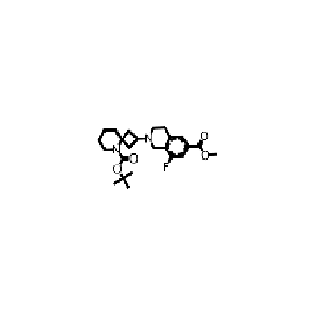 COC(=O)c1cc(F)c2c(c1)CCN(C1CC3(CCCCN3C(=O)OC(C)(C)C)C1)C2